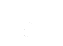 CO[Si](C)([CH]C1CCCC1)OC